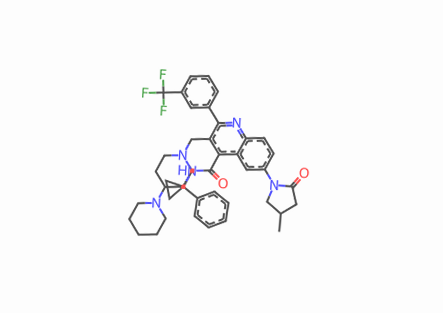 CC1CC(=O)N(c2ccc3nc(-c4cccc(C(F)(F)F)c4)c(CN4CCC(N5CCCCC5)CC4)c(C(=O)NC4(c5ccccc5)CC4)c3c2)C1